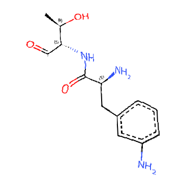 C[C@@H](O)[C@@H]([C]=O)NC(=O)[C@@H](N)Cc1cccc(N)c1